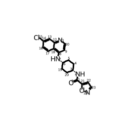 O=C(N[C@H]1CC[C@@H](Nc2ccnc3cc(Cl)ccc23)CC1)c1ccno1